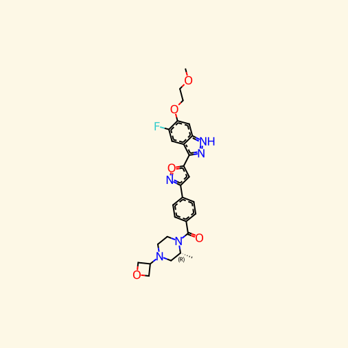 COCCOc1cc2[nH]nc(-c3cc(-c4ccc(C(=O)N5CCN(C6COC6)C[C@H]5C)cc4)no3)c2cc1F